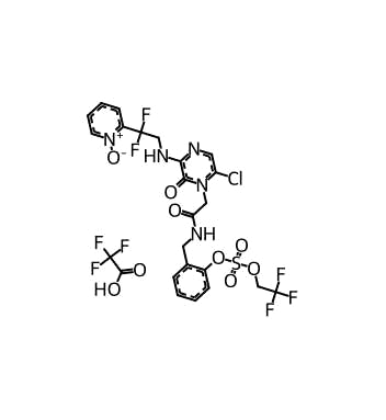 O=C(Cn1c(Cl)cnc(NCC(F)(F)c2cccc[n+]2[O-])c1=O)NCc1ccccc1OS(=O)(=O)OCC(F)(F)F.O=C(O)C(F)(F)F